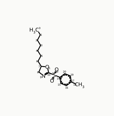 CCCCCCCC1CN=C(S(=O)(=O)c2ccc(C)cc2)O1